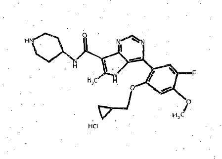 COc1cc(OCC2CC2)c(-c2ncnc3c(C(=O)NC4CCNCC4)c(C)[nH]c23)cc1F.Cl